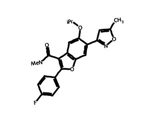 CNC(=O)c1c(-c2ccc(F)cc2)oc2cc(-c3cc(C)on3)c(OC(C)C)cc12